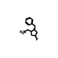 NCC1CC(F)CN1Cc1ccccc1